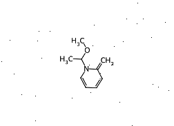 C=C1C=CC=CN1C(C)OC